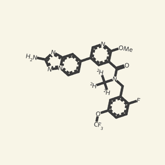 [2H]C([2H])([2H])N(Cc1cc(OC(F)(F)F)ccc1F)C(=O)c1cc(-c2ccn3nc(N)nc3c2)cnc1OC